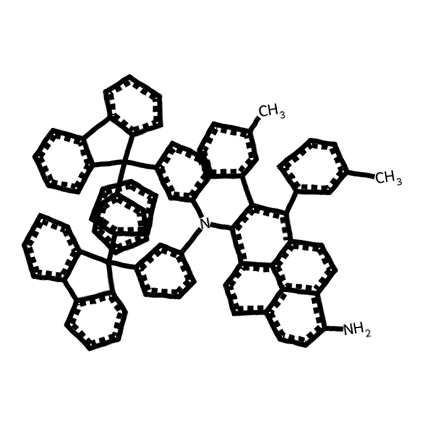 Cc1cccc(-c2c(-c3cccc(C)c3)c3ccc4c(N)ccc5ccc(c2N(c2cccc(C6(c7ccccc7)c7ccccc7-c7ccccc76)c2)c2cccc(C6(c7ccccc7)c7ccccc7-c7ccccc76)c2)c3c54)c1